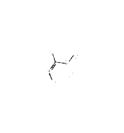 CCC(C)N=C(C)NC(C)CC.[Cu+]